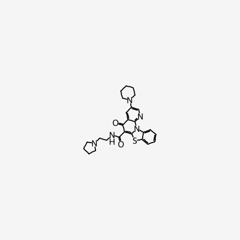 O=C(NCCN1CCCC1)c1c(=O)c2cc(N3CCCCC3)cnc2n2c1sc1ccccc12